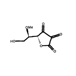 CO[C@H](CO)[C@H]1OC(=O)C(=O)C1=O